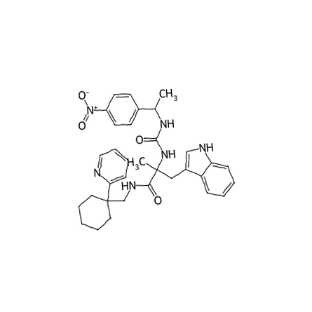 CC(NC(=O)NC(C)(Cc1c[nH]c2ccccc12)C(=O)NCC1(c2ccccn2)CCCCC1)c1ccc([N+](=O)[O-])cc1